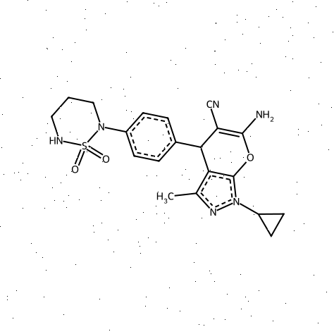 Cc1nn(C2CC2)c2c1C(c1ccc(N3CCCNS3(=O)=O)cc1)C(C#N)=C(N)O2